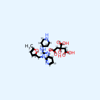 Cc1ccc(CN2c3ncccc3N(OC(=O)CC(O)(CC(=O)O)C(=O)O)C2NC2CCNCC2)o1